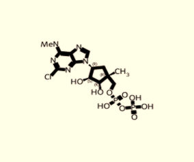 CNc1nc(Cl)nc2c1ncn2[C@@H]1C[C@](C)(COP(=O)(O)OP(=O)(O)O)[C@@H](O)[C@H]1O